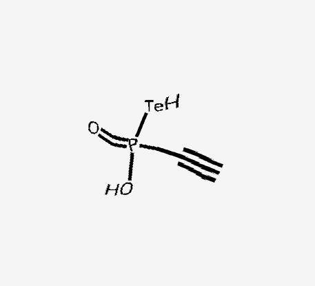 C#CP(=O)(O)[TeH]